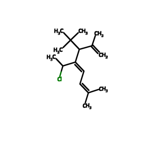 C=C(C)C(/C(=C/C=C(C)C)C(C)Cl)C(C)(C)C